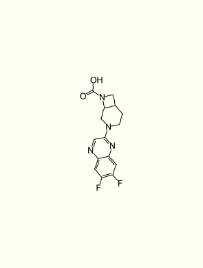 O=C(O)N1CC2CCN(c3cnc4cc(F)c(F)cc4n3)CC21